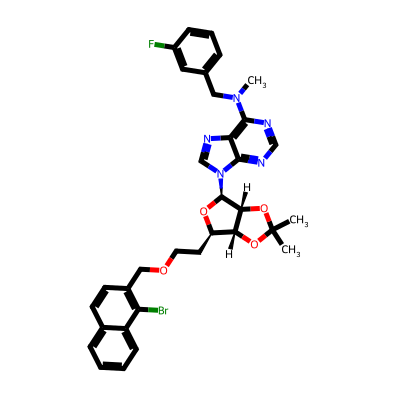 CN(Cc1cccc(F)c1)c1ncnc2c1ncn2[C@@H]1O[C@H](CCOCc2ccc3ccccc3c2Br)[C@H]2OC(C)(C)O[C@H]21